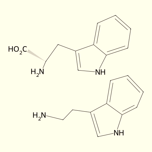 NCCc1c[nH]c2ccccc12.N[C@@H](Cc1c[nH]c2ccccc12)C(=O)O